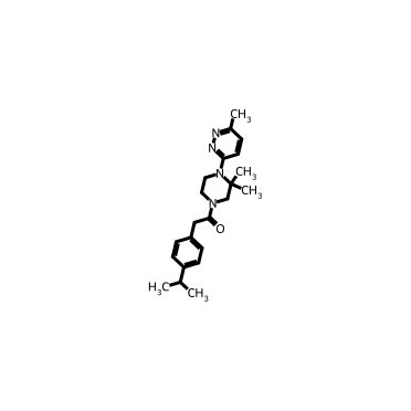 Cc1ccc(N2CCN(C(=O)Cc3ccc(C(C)C)cc3)CC2(C)C)nn1